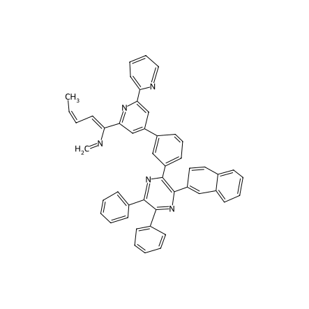 C=N/C(=C\C=C/C)c1cc(-c2cccc(-c3nc(-c4ccccc4)c(-c4ccccc4)nc3-c3ccc4ccccc4c3)c2)cc(-c2ccccn2)n1